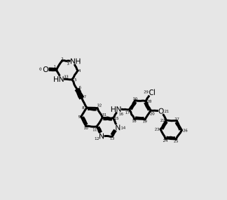 O=C1CNCC(C#Cc2ccc3ncnc(Nc4ccc(Oc5ccccc5)c(Cl)c4)c3c2)N1